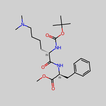 COC(=O)[C@H](Cc1ccccc1)NC(=O)[C@H](CCCCN(C)C)NC(=O)OC(C)(C)C